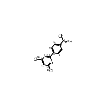 SC(Cl)c1ccc(-c2nc(Cl)cc(Cl)n2)cc1